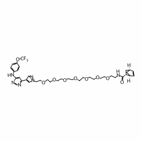 O=C(NCCOCCOCCOCCOCCOCCOCCOCCn1cc(-c2cc(Nc3ccc(OC(F)(F)F)cc3)ncn2)cn1)[C@H]1C[C@H]2C=C[C@@H]1C2